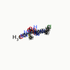 CON=C1CCN(CCC(CSc2ccccc2)Nc2ccc(S(=O)(=O)Nc3ncnc4cc(N5CCN(Cc6ccccc6-c6ccc(Cl)cc6)CC5)ccc34)cc2[N+](=O)[O-])CC1